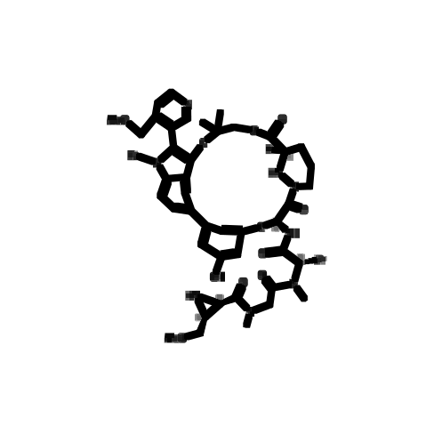 CCn1c(-c2cnccc2COC)c2c3cc(ccc31)-c1cc(O)cc(c1)C[C@H](NC(=O)[C@H](C(C)C)N(C)C(=O)CN(C)C(=O)[C@@H]1N[C@@H]1COC)C(=O)N1CCC[C@H](N1)C(=O)OCC(C)(C)C2